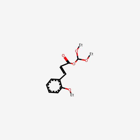 CCOc1ccccc1C=CC(=O)OC(OCC)OCC